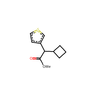 COC(=O)C(c1ccsc1)C1CCC1